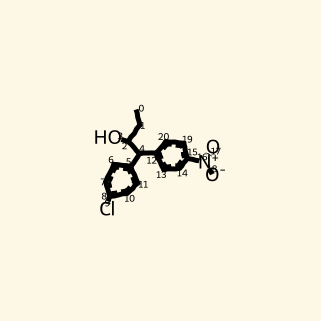 CCC(O)C(c1ccc(Cl)cc1)c1ccc([N+](=O)[O-])cc1